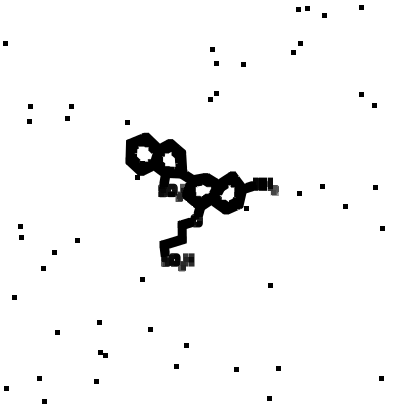 Nc1ccc2c(OCCCS(=O)(=O)O)cc(-c3ccc4ccccc4c3S(=O)(=O)O)cc2c1